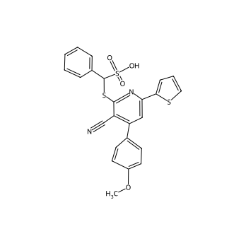 COc1ccc(-c2cc(-c3cccs3)nc(SC(c3ccccc3)S(=O)(=O)O)c2C#N)cc1